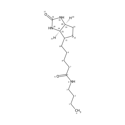 CCCCNC(=O)CCCCC1SC[C@@H]2NC(=O)N[C@H]12